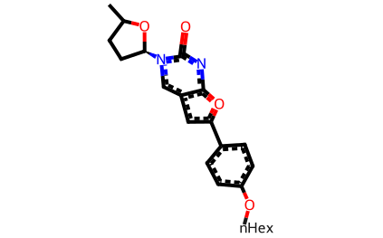 CCCCCCOc1ccc(-c2cc3cn([C@H]4CCC(C)O4)c(=O)nc3o2)cc1